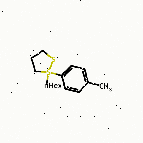 CCCCCCS1(c2ccc(C)cc2)CCCS1